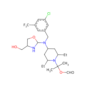 CCC1CC(N(Cc2cc(Cl)cc(C(F)(F)F)c2)C2NC(CO)CO2)CC(CC)N1C(C)(C)OC=O